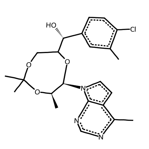 Cc1cc([C@@H](O)C2COC(C)(C)O[C@H](C)[C@H](n3ccc4c(C)ncnc43)O2)ccc1Cl